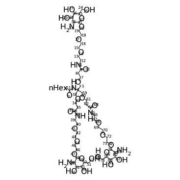 CCCCCCC(=O)NC(COCCC(=O)NCCOCCOCCOC1OC(CO)C(O)C(O)C1N)(COCCC(=O)NCCOCCOCCOC1OC(CO)C(O)C(O)C1N)COCCC(=O)NCCOCCOCCOC1OC(CO)C(O)C(O)C1N